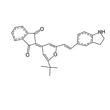 CC(C)(C)C1=CC(=C2C(=O)c3ccccc3C2=O)C=C(C=Cc2ccc3c(c2)CCN3)O1